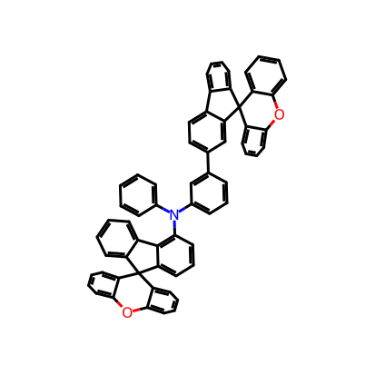 c1ccc(N(c2cccc(-c3ccc4c(c3)C3(c5ccccc5Oc5ccccc53)c3ccccc3-4)c2)c2cccc3c2-c2ccccc2C32c3ccccc3Oc3ccccc32)cc1